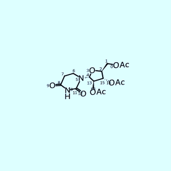 CC(=O)OC[C@@H]1O[C@@H](N2CCC(=O)NC2=O)[C@H](OC(C)=O)[C@H]1OC(C)=O